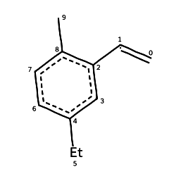 C=[C]c1cc(CC)ccc1C